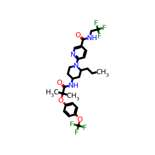 CCCC1CC(NC(=O)C(C)(C)Oc2ccc(OC(F)(F)F)cc2)CCN1c1ccc(C(=O)NCC(F)(F)F)cn1